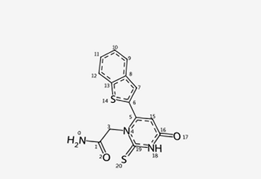 NC(=O)Cn1c(-c2cc3ccccc3s2)cc(=O)[nH]c1=S